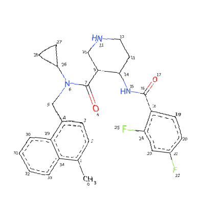 Cc1ccc(CN(C(=O)C2CNCCC2NC(=O)c2ccc(F)cc2F)C2CC2)c2ccccc12